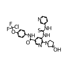 O=C(Nc1ccc(OC(F)(F)Cl)cc1)c1cnc(N2CC[C@@H](O)C2)c(NC(=S)Nc2cccnc2)c1